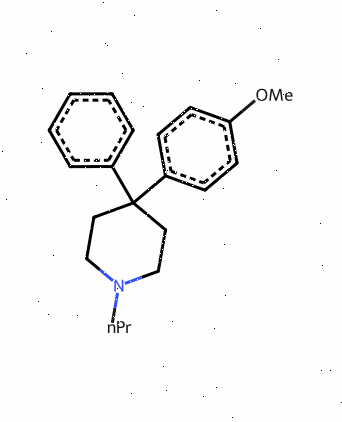 [CH2]CCN1CCC(c2ccccc2)(c2ccc(OC)cc2)CC1